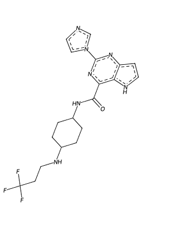 O=C(NC1CCC(NCCC(F)(F)F)CC1)c1nc(-n2ccnc2)nc2cc[nH]c12